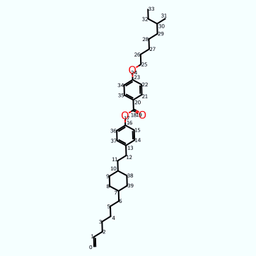 C=CCCCCCC1CCC(CCc2ccc(OC(=O)c3ccc(OCCCCCC(C)CC)cc3)cc2)CC1